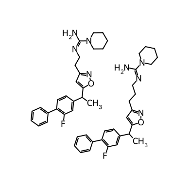 CC(c1ccc(-c2ccccc2)c(F)c1)c1cc(CC/N=C(/N)N2CCCCC2)no1.CC(c1ccc(-c2ccccc2)c(F)c1)c1cc(CCC/N=C(\N)N2CCCCC2)no1